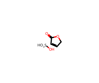 O=C1C=CCO1.O=S(=O)(O)O